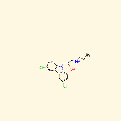 CC(C)CCNCC(O)Cn1c2ccc(Cl)cc2c2cc(Cl)ccc21